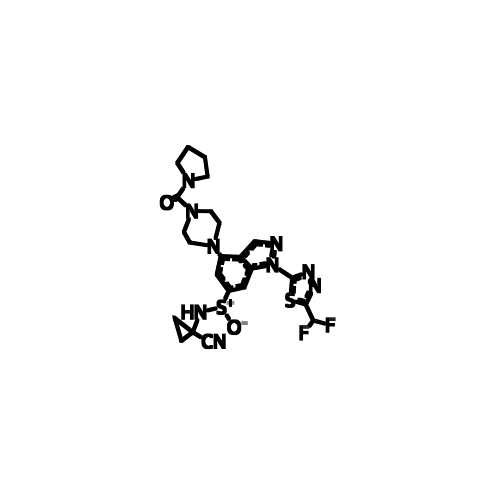 N#CC1(N[S+]([O-])c2cc(N3CCN(C(=O)N4CCCC4)CC3)c3cnn(-c4nnc(C(F)F)s4)c3c2)CC1